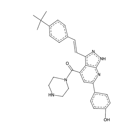 CC(C)(C)c1ccc(/C=C/c2n[nH]c3nc(-c4ccc(O)cc4)cc(C(=O)N4CCNCC4)c23)cc1